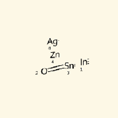 [Ag].[In].[O]=[Sn].[Zn]